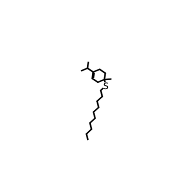 CCCCCCCCCCSC1(C)CC=C(C(C)C)CC1